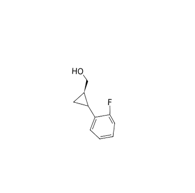 OC[C@@H]1CC1c1ccccc1F